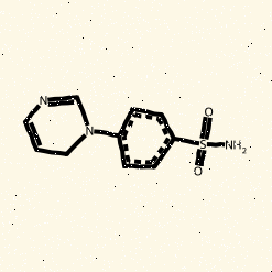 NS(=O)(=O)c1ccc(N2C=NC=CC2)cc1